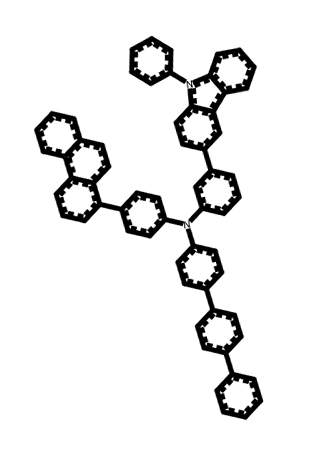 c1ccc(-c2ccc(-c3ccc(N(c4ccc(-c5cccc6c5ccc5ccccc56)cc4)c4cccc(-c5ccc6c(c5)c5ccccc5n6-c5ccccc5)c4)cc3)cc2)cc1